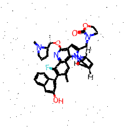 Cc1cc2c(nc(O[C@@H](C)C3CCCN3C)c3cc(CN4CCOC4=O)n([C@H]4[C@H]5CN[C@@H]4C5)c32)c(F)c1-c1cc(O)cc2ccccc12